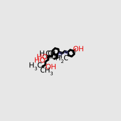 C=C1CC[C@H](O)C/C1=C/C=C1\CCC[C@@]2(C)[C@H]1CC[C@@H]2[C@@](C)(O)CC(O)C(O)C(C)C